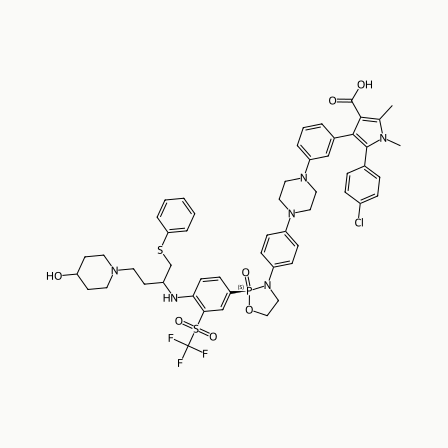 Cc1c(C(=O)O)c(-c2cccc(N3CCN(c4ccc(N5CCO[P@@]5(=O)c5ccc(NC(CCN6CCC(O)CC6)CSc6ccccc6)c(S(=O)(=O)C(F)(F)F)c5)cc4)CC3)c2)c(-c2ccc(Cl)cc2)n1C